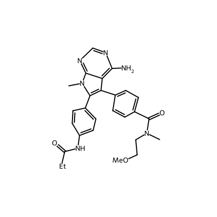 CCC(=O)Nc1ccc(-c2c(-c3ccc(C(=O)N(C)CCOC)cc3)c3c(N)ncnc3n2C)cc1